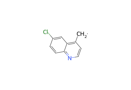 [CH2]c1ccnc2ccc(Cl)cc12